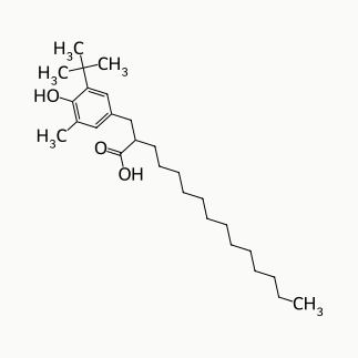 CCCCCCCCCCCCCC(Cc1cc(C)c(O)c(C(C)(C)C)c1)C(=O)O